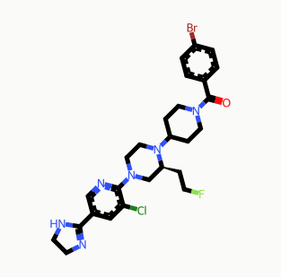 O=C(c1ccc(Br)cc1)N1CCC(N2CCN(c3ncc(C4=NCCN4)cc3Cl)C[C@@H]2CCF)CC1